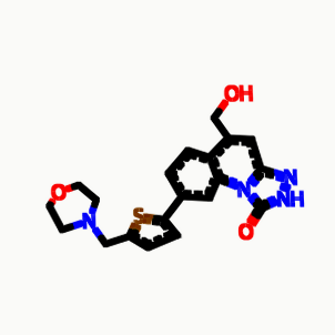 O=c1[nH]nc2cc(CO)c3ccc(-c4ccc(CN5CCOCC5)s4)cc3n12